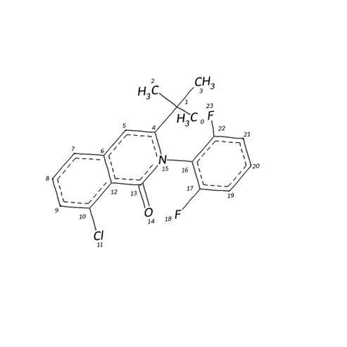 CC(C)(C)c1cc2cccc(Cl)c2c(=O)n1-c1c(F)cccc1F